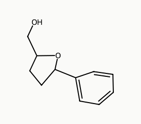 OCC1CCC(c2ccccc2)O1